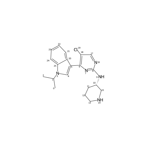 CC(C)n1cc(-c2nc(N[C@H]3CCCNC3)ncc2Cl)c2ccccc21